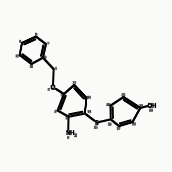 Nc1cc(OCc2ccccc2)ccc1Sc1ccc(O)cc1